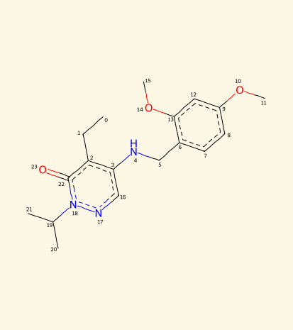 CCc1c(NCc2ccc(OC)cc2OC)cnn(C(C)C)c1=O